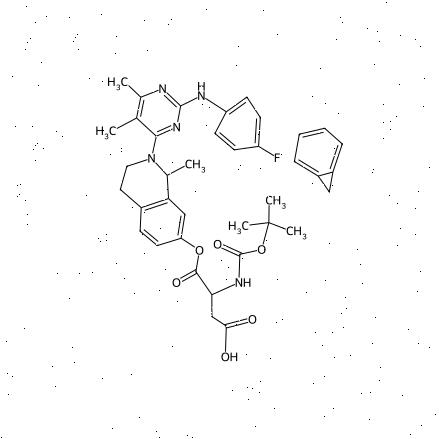 Cc1nc(Nc2ccc(F)cc2)nc(N2CCc3ccc(OC(=O)C(CC(=O)O)NC(=O)OC(C)(C)C)cc3C2C)c1C.c1ccc2c(c1)C2